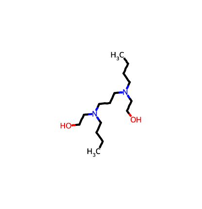 CCCCN(CCO)CCCN(CCO)CCCC